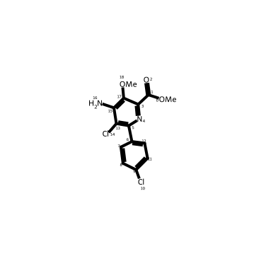 COC(=O)c1nc(-c2ccc(Cl)cc2)c(Cl)c(N)c1OC